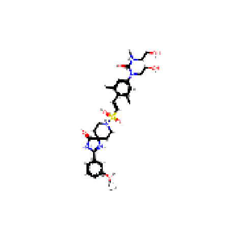 Cc1cc(N(CCO)C(=O)N(C)CCO)cc(C)c1/C=C/S(=O)(=O)N1CCC2(CC1)N=C(c1cccc(OC(F)(F)F)c1)NC2=O